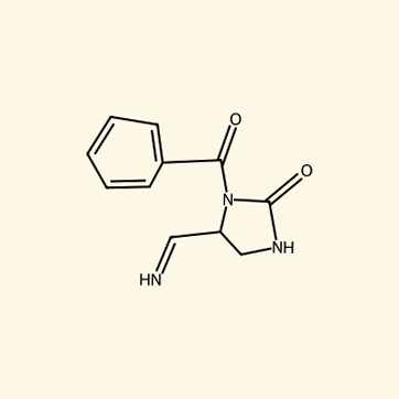 N=CC1CNC(=O)N1C(=O)c1ccccc1